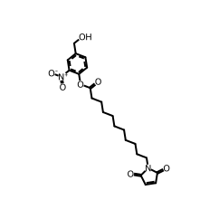 O=C(CCCCCCCCCCN1C(=O)C=CC1=O)Oc1ccc(CO)cc1[N+](=O)[O-]